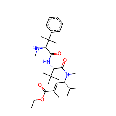 CCOC(=O)/C(C)=C/[C@@H](C(C)C)N(C)C(=O)[C@@H](NC(=O)[C@@H](NC)C(C)(C)c1ccccc1)C(C)(C)C